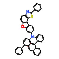 c1ccc(-c2ccc(N(c3ccc4c(c3)oc3ccc5nc(-c6ccccc6)sc5c34)c3ccccc3-c3cccc4ccccc34)cc2)cc1